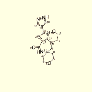 O=C1NC2(CCOCC2)CN2CCOc3c(-c4cn[nH]c4)sc1c32